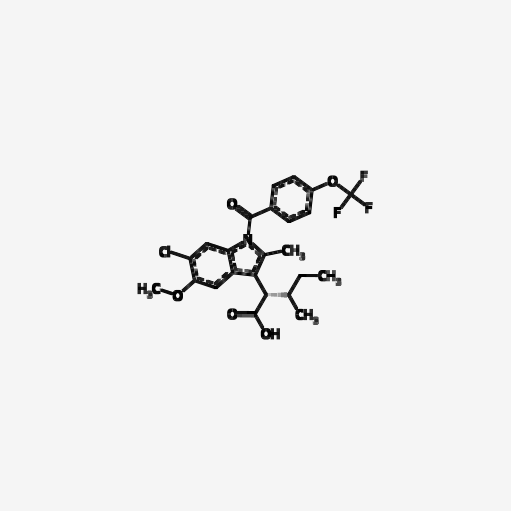 CCC(C)[C@H](C(=O)O)c1c(C)n(C(=O)c2ccc(OC(F)(F)F)cc2)c2cc(Cl)c(OC)cc12